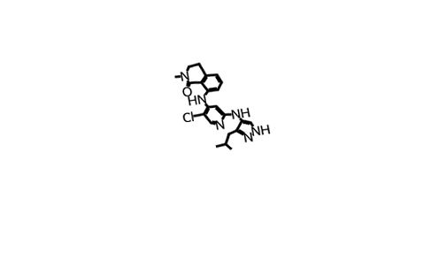 CC(C)Cc1n[nH]cc1Nc1cc(Nc2cccc3c2C(=O)N(C)CC3)c(Cl)cn1